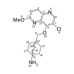 COc1ccc2ncc(Cl)c(OCC34CCC(N)(CC3)CC4)c2n1